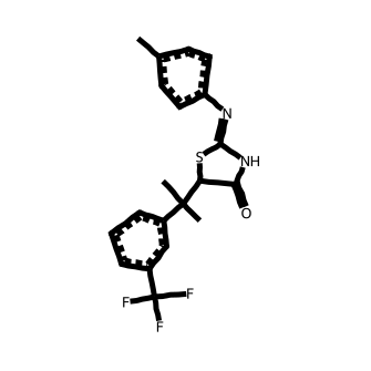 Cc1ccc(/N=C2/NC(=O)C(C(C)(C)c3cccc(C(F)(F)F)c3)S2)cc1